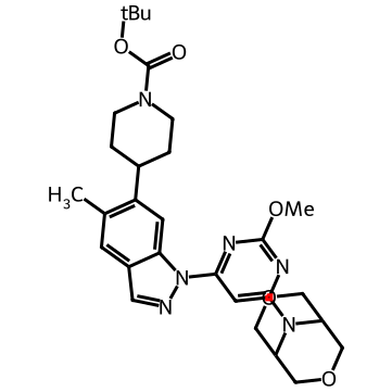 COc1nc(N2C3COCC2COC3)cc(-n2ncc3cc(C)c(C4CCN(C(=O)OC(C)(C)C)CC4)cc32)n1